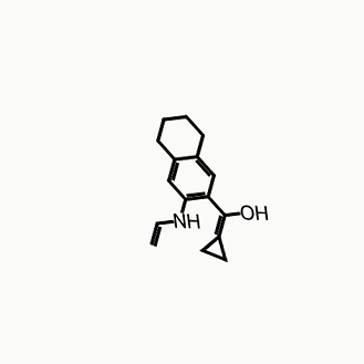 C=CNc1cc2c(cc1C(O)=C1CC1)CCCC2